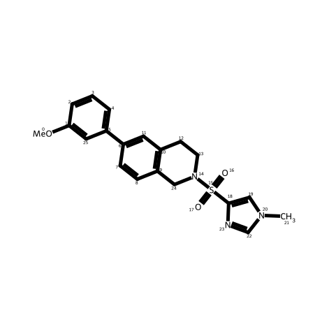 COc1cccc(-c2ccc3c(c2)CCN(S(=O)(=O)c2cn(C)cn2)C3)c1